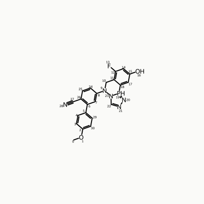 COc1ccc(-c2cc(N3Cc4c(F)cc(O)cc4[PH]4=NN=CN34)ccc2C#N)cc1